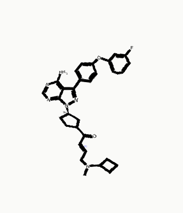 CN(C/C=C/C(=O)C1CC[C@@H](n2nc(-c3ccc(Oc4cccc(F)c4)cc3)c3c(N)ncnc32)C1)C1CCC1